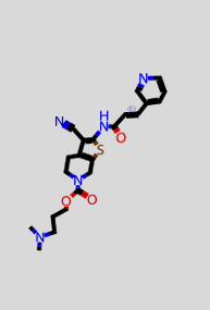 CN(C)CCCOC(=O)N1CCc2c(sc(NC(=O)/C=C/c3cccnc3)c2C#N)C1